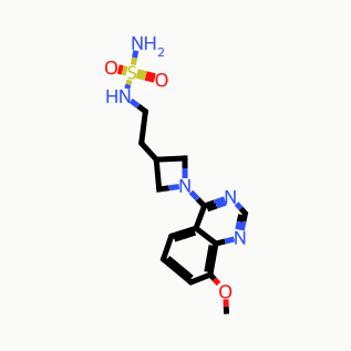 COc1cccc2c(N3CC(CCNS(N)(=O)=O)C3)ncnc12